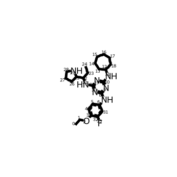 CCOc1ccc(Nc2nc(NC3CCCCCC3)nc(NC(CC)C3CCCN3)n2)cc1F